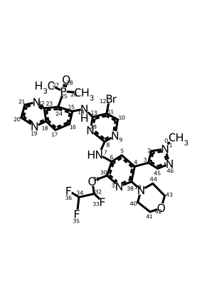 Cn1cc(-c2cc(Nc3ncc(Br)c(Nc4ccc5nccnc5c4P(C)(C)=O)n3)c(OC(F)C(F)F)nc2N2CCOCC2)cn1